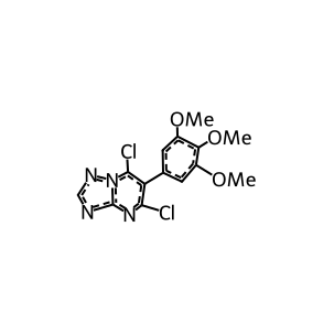 COc1cc(-c2c(Cl)nc3ncnn3c2Cl)cc(OC)c1OC